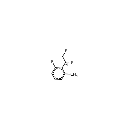 Cc1cccc(F)c1[C@@H](F)CF